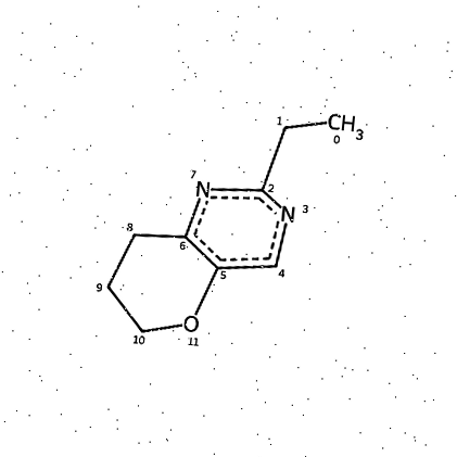 CCc1ncc2c(n1)CCCO2